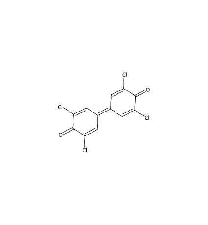 O=C1C(Cl)=CC(=C2C=C(Cl)C(=O)C(Cl)=C2)C=C1Cl